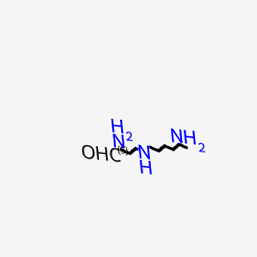 CC(N)CCCCNCC[C@H](N)C=O